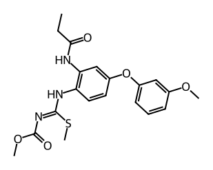 CCC(=O)Nc1cc(Oc2cccc(OC)c2)ccc1NC(=NC(=O)OC)SC